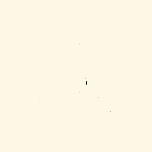 O=C(NC(c1ccc(Cl)cc1)c1ccncn1)[C@@H]1CC[C@@H](N2CCOCC2)C[C@H]1c1ccc(Br)cc1